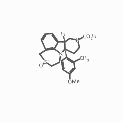 COc1ccc([C@]23CCN(C(=O)O)C[C@H]2c2cccc4c2N3CC[S+]([O-])C4)c(C)c1